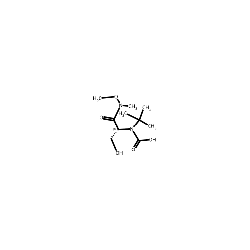 CON(C)C(=O)[C@@H](CO)N(C(=O)O)C(C)(C)C